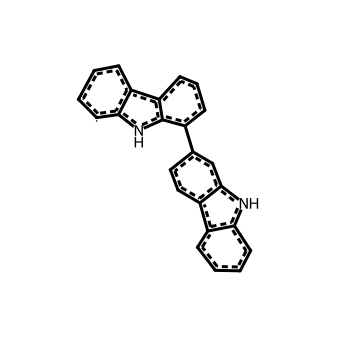 [c]1cccc2c1[nH]c1c(-c3ccc4c(c3)[nH]c3ccccc34)cccc12